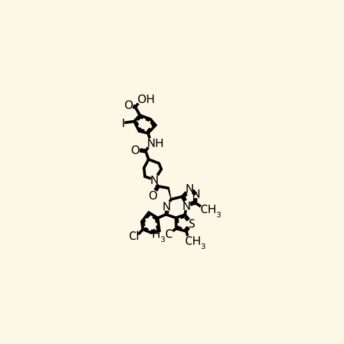 Cc1sc2c(c1C)C(c1ccc(Cl)cc1)=N[C@@H](CC(=O)N1CCC(C(=O)Nc3ccc(C(=O)O)c(I)c3)CC1)c1nnc(C)n1-2